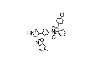 Cc1ccc2nc(-c3c[nH]nc3-c3ccc(NC(=O)c4ccccc4C(=O)c4ccc(Cl)cc4)cc3)oc2c1